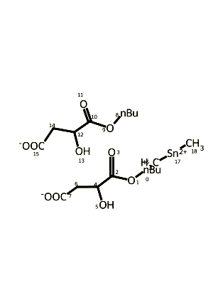 CCCCOC(=O)C(O)CC(=O)[O-].CCCCOC(=O)C(O)CC(=O)[O-].[CH3][Sn+2][CH3]